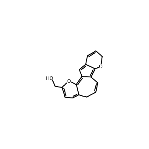 OCC1=CC=C2CC=CC3=C4OCC=CC4=CC3=C2O1